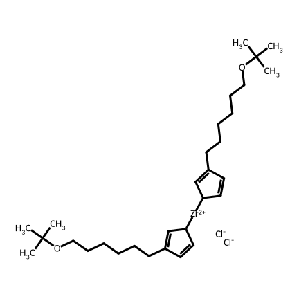 CC(C)(C)OCCCCCCC1=C[CH]([Zr+2][CH]2C=CC(CCCCCCOC(C)(C)C)=C2)C=C1.[Cl-].[Cl-]